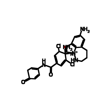 Nc1cc2c3c(c1)CCCN[N@+]3(C1(N)C(Cl)=CC(C(=O)NC3=CCC(=O)C=C3)=CC1Cl)C=C2